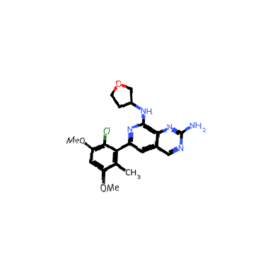 COc1cc(OC)c(Cl)c(-c2cc3cnc(N)nc3c(NC3CCOC3)n2)c1C